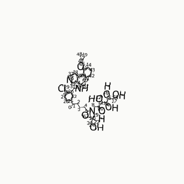 CC(CCCC(=O)N(C[C@@H](O)[C@H](O)[C@@H](O)[C@@H](O)CO)CC(C)(C)CO)c1ccc(Cl)c(CNC2(c3cnccc3-c3ccccc3OC3CC3)CC2)c1